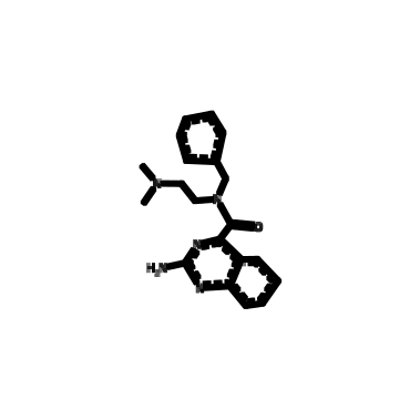 CN(C)CCN(Cc1ccccc1)C(=O)c1nc(N)nc2ccccc12